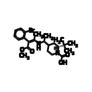 COC(=O)C(=C(C)NC(C)C1CCN(C(=O)O)[C@@H](C(C)(C)C)C1)c1ccccc1Br